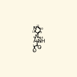 O=CC(=O)C1CCN(c2cccnc2)CN1